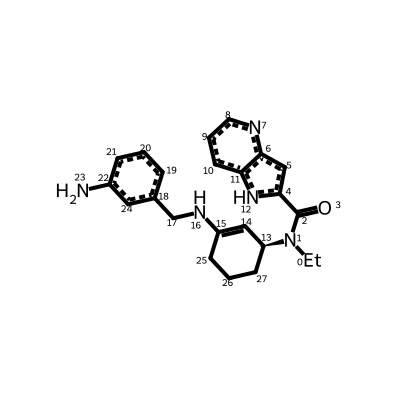 CCN(C(=O)c1cc2ncccc2[nH]1)[C@@H]1C=C(NCc2cccc(N)c2)CCC1